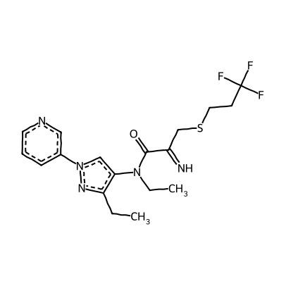 CCc1nn(-c2cccnc2)cc1N(CC)C(=O)C(=N)CSCCC(F)(F)F